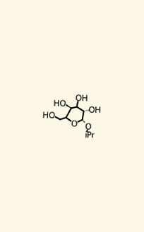 CC(C)O[C@@H]1OC(CO)[C@@H](O)C(O)[C@@H]1O